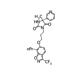 CCCc1c(OCCCN2C(=O)NC(C)(c3cccnc3)C2=O)ccc2c(C(F)(F)F)noc12